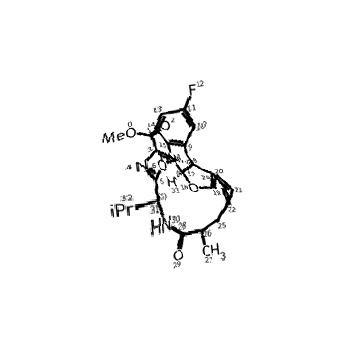 COC(=O)c1nc2oc1[C@@]13c4cc(F)ccc4N[C@@H]1Oc1ccc(cc13)CC(C)C(=O)N[C@H]2C(C)C